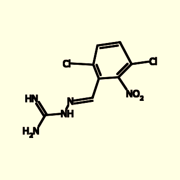 N=C(N)N/N=C/c1c(Cl)ccc(Cl)c1[N+](=O)[O-]